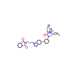 CC(C)C[C@@H](C(=O)NCC#N)c1cccc(-c2ccc3c(ccn3CCCN3C(=O)c4ccccc4C3=O)c2)c1